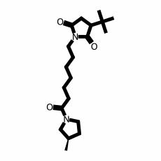 C[C@@H]1CCN(C(=O)CCCCCCN2C(=O)CC(C(C)(C)C)C2=O)C1